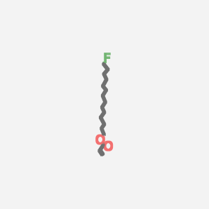 C=CC(=O)OCCCCCCCCCCCCCCF